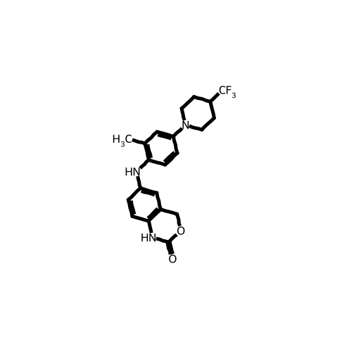 Cc1cc(N2CCC(C(F)(F)F)CC2)ccc1Nc1ccc2c(c1)COC(=O)N2